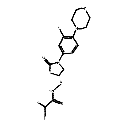 O=C1O[C@@H](CNC(=S)C(F)F)CN1c1ccc(N2CCOCC2)c(F)c1